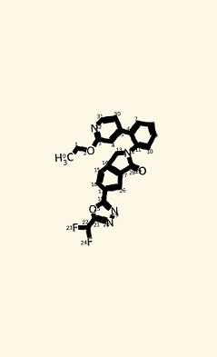 CCOc1cc(-c2ccccc2N2Cc3ccc(-c4nnc(C(F)F)o4)cc3C2=O)ccn1